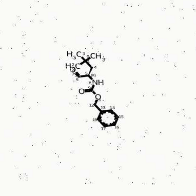 CC(C)(C)C[C@H]([C]=O)NC(=O)OCc1ccccc1